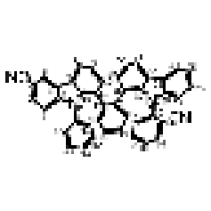 N#Cc1ccc2c(c1)c1cccc(-c3ccccc3-c3cccc4c5ccccc5n(-c5ccccc5C#N)c34)c1n2-c1ccccc1